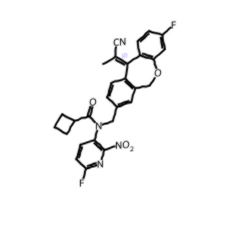 C/C(C#N)=C1\c2ccc(CN(C(=O)C3CCC3)c3ccc(F)nc3[N+](=O)[O-])cc2COc2cc(F)ccc21